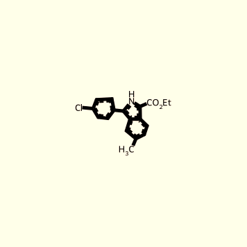 CCOC(=O)c1[nH]c(-c2ccc(Cl)cc2)c2cc(C)ccc12